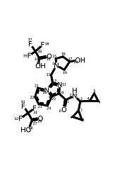 O=C(NC(C1CC1)C1CC1)c1nc(CN2CCC(O)C2)n2ccccc12.O=C(O)C(F)(F)F.O=C(O)C(F)(F)F